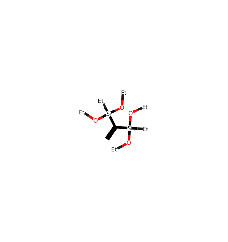 C=C([Si](CC)(OCC)OCC)[Si](CC)(OCC)OCC